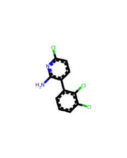 Nc1nc(Cl)ccc1-c1cccc(Cl)c1Cl